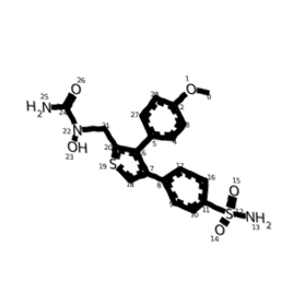 COc1ccc(-c2c(-c3ccc(S(N)(=O)=O)cc3)csc2CN(O)C(N)=O)cc1